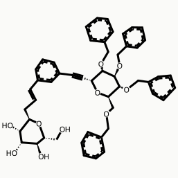 OC[C@H]1O[C@H](CC=Cc2cccc(C#C[C@H]3O[C@H](COCc4ccccc4)[C@@H](OCc4ccccc4)[C@H](OCc4ccccc4)[C@@H]3OCc3ccccc3)c2)[C@@H](O)[C@@H](O)[C@@H]1O